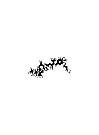 COCCCOc1cc(C[C@@H](CC[C@@H](O)C[C@H](C(=O)NCC2(NC(=O)OC(C)(C)C)CC2)C(C)C)C(C)C)ccc1OC